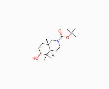 CC(C)(C)OC(=O)N1CC[C@H]2C(C)(C)[C@@H](O)CC[C@]2(C)C1